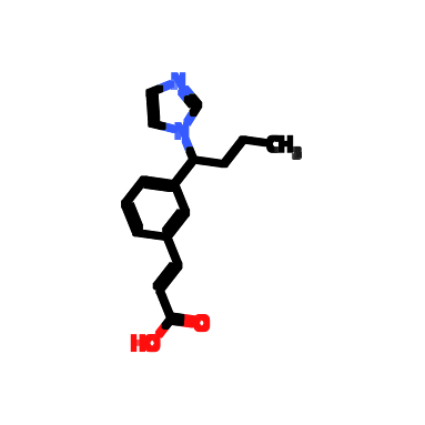 CCCC(c1cccc(C=CC(=O)O)c1)n1ccnc1